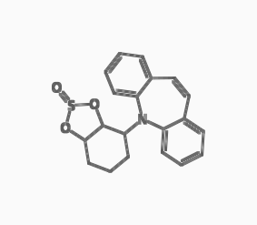 O=S1OC2CCCC(N3c4ccccc4C=Cc4ccccc43)C2O1